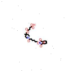 CC1(COC(=O)CCC(=O)O)CCN(C(=O)CCCCCON2C(=O)C3C4C=CC(O4)C3C2=O)CC1